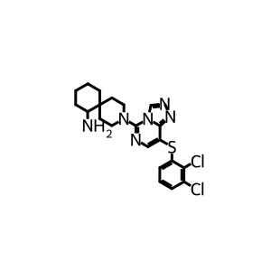 NC1CCCCC12CCN(c1ncc(Sc3cccc(Cl)c3Cl)c3nncn13)CC2